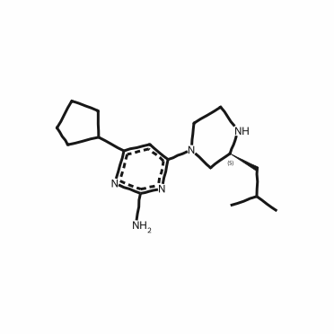 CC(C)C[C@H]1CN(c2cc(C3CCCC3)nc(N)n2)CCN1